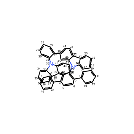 c1ccc(-c2ccc(-c3ccccc3)c(-n3c4ccccc4c4ccc(-c5ccccc5-n5c6ccccc6c6ccccc65)cc43)c2)cc1